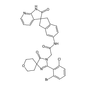 O=C(CN1C(=O)C2(CCOCC2)N=C1c1c(Cl)cccc1Br)Nc1ccc2c(c1)CC1(C2)C(=O)Nc2ncccc21